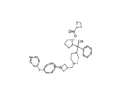 N#CC(c1ccccc1)(C1CCN(CC2CN(c3ccc(Sc4ccncc4)cc3)C2)CC1)C1CCC[C@@H]1OC(=O)C1CCC1